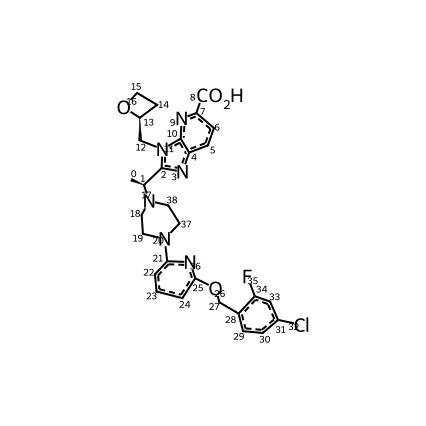 C[C@@H](c1nc2ccc(C(=O)O)nc2n1C[C@@H]1CCO1)N1CCN(c2cccc(OCc3ccc(Cl)cc3F)n2)CC1